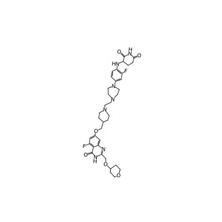 O=C1CCC(Nc2ccc(N3CCN(CCN4CCC(COc5cc(F)c6c(=O)[nH]c(COC7CCOCC7)nc6c5)CC4)CC3)cc2F)C(=O)N1